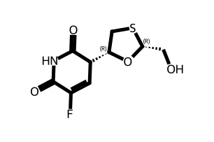 O=C1NC(=O)C([C@@H]2CS[C@H](CO)O2)C=C1F